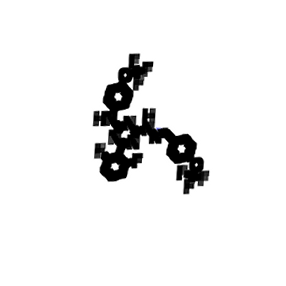 Fc1cccc(F)c1-c1nc(N/N=C/c2ccc(OC(F)(F)F)cc2)nc(Nc2ccc(OC(F)(F)F)cc2)n1